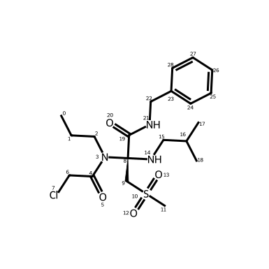 CCCN(C(=O)CCl)[C@@](CS(C)(=O)=O)(NCC(C)C)C(=O)NCc1ccccc1